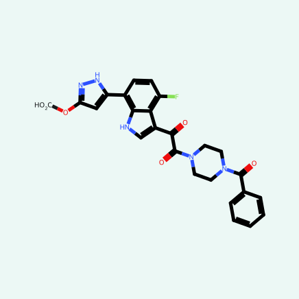 O=C(O)Oc1cc(-c2ccc(F)c3c(C(=O)C(=O)N4CCN(C(=O)c5ccccc5)CC4)c[nH]c23)[nH]n1